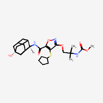 COC(=O)NC(C)(C)COc1noc(C(=O)N[C@H]2C3CC4CC2C[C@](O)(C4)C3)c1SC1CCCC1